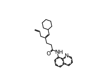 C=CCC(=CC1CCCCC1)CCC(=O)Nc1cccc2cccnc12